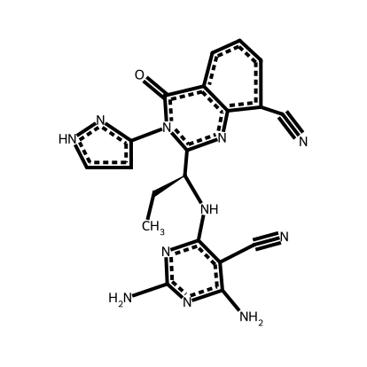 CC[C@H](Nc1nc(N)nc(N)c1C#N)c1nc2c(C#N)cccc2c(=O)n1-c1cc[nH]n1